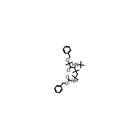 CC(C)(C)NC(C(=O)C(C)(C)OCc1ccccc1)C(C)(C)CC(C)(C)NC(=O)OCc1ccccc1